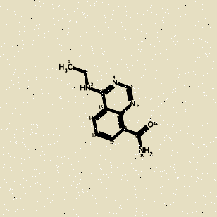 CCNc1ncnc2c(C(N)=O)cccc12